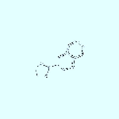 c1ccc2ncc(B3OCCO3)cc2c1